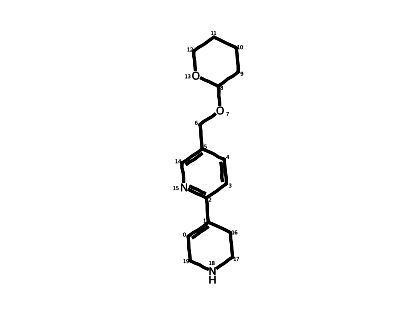 C1=C(c2ccc(COC3CCCCO3)cn2)CCNC1